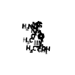 CCOCc1nc2c(N)nc3ccsc3c2n1Cc1ccc(CN[C@H](CO)[C@@H](C)CC)cc1